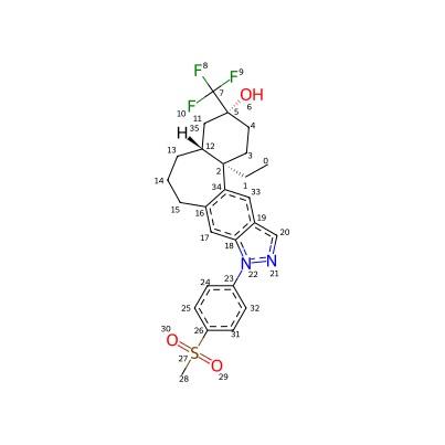 CC[C@@]12CC[C@](O)(C(F)(F)F)C[C@H]1CCCc1cc3c(cnn3-c3ccc(S(C)(=O)=O)cc3)cc12